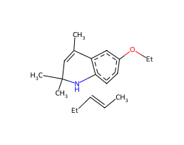 CC=CCC.CCOc1ccc2c(c1)C(C)=CC(C)(C)N2